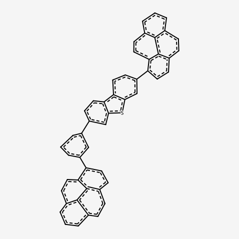 c1cc(-c2ccc3c(c2)sc2cc(-c4ccc5ccc6cccc7ccc4c5c67)ccc23)cc(-c2ccc3ccc4cccc5ccc2c3c45)c1